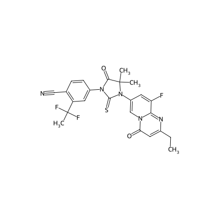 CCc1cc(=O)n2cc(N3C(=S)N(c4ccc(C#N)c(C(C)(F)F)c4)C(=O)C3(C)C)cc(F)c2n1